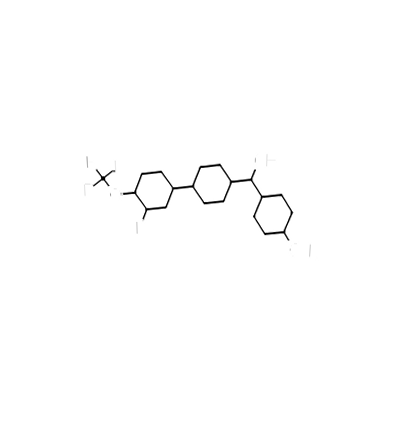 CC1CCC(C(C)C2CCC(C3CCC(OC(F)(F)F)C(F)C3)CC2)CC1